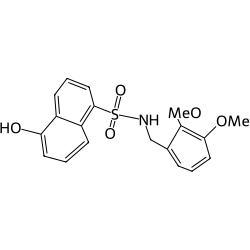 COc1cccc(CNS(=O)(=O)c2cccc3c(O)cccc23)c1OC